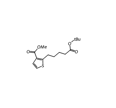 COC(=O)c1ccsc1CCCCC(=O)OC(C)(C)C